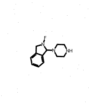 FN1Cc2ccccc2[C]1N1CCNCC1